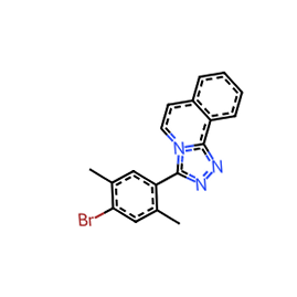 Cc1cc(-c2nnc3c4ccccc4ccn23)c(C)cc1Br